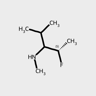 CNC(C(C)C)[C@H](C)F